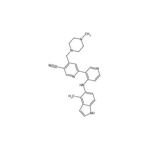 Cc1c(Nc2ccncc2-c2cc(CN3CCN(C)CC3)c(C#N)cn2)ccc2[nH]ccc12